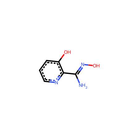 NC(=NO)c1ncccc1O